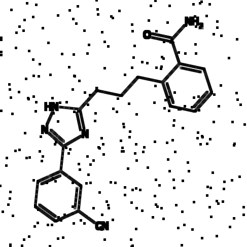 N#Cc1cccc(-c2n[nH]c([CH]CCc3ccccc3C(N)=O)n2)c1